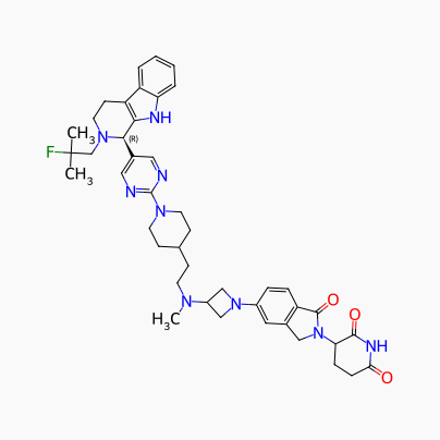 CN(CCC1CCN(c2ncc([C@@H]3c4[nH]c5ccccc5c4CCN3CC(C)(C)F)cn2)CC1)C1CN(c2ccc3c(c2)CN(C2CCC(=O)NC2=O)C3=O)C1